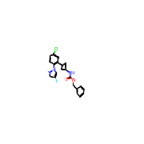 O=C(NC1CC(c2cc(Cl)ccc2-n2cc(F)cn2)C1)OCc1ccccc1